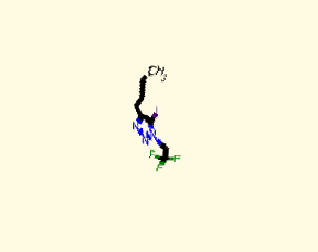 CCCCc1nnn(CC(F)(F)F)c1I